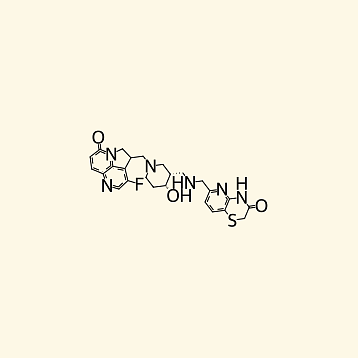 O=C1CSc2ccc(CNC[C@H]3CN(CC4Cn5c(=O)ccc6ncc(F)c4c65)CC[C@H]3O)nc2N1